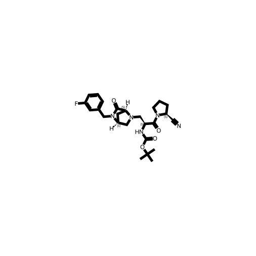 CC(C)(C)OC(=O)N[C@@H](CN1C[C@@H]2C[C@H]1C(=O)N2Cc1cccc(F)c1)C(=O)N1CCC[C@H]1C#N